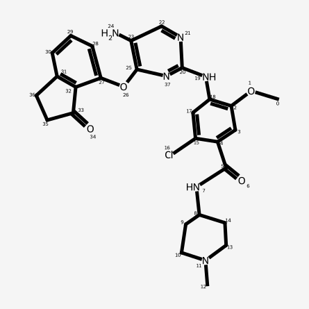 COc1cc(C(=O)NC2CCN(C)CC2)c(Cl)cc1Nc1ncc(N)c(Oc2cccc3c2C(=O)CC3)n1